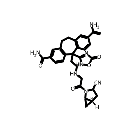 C=C(N)c1ccc2c(c1)CCc1cc(C(N)=O)ccc1C2(CCNCC(=O)N1C(C#N)C[C@@H]2CC21)c1nc(=O)o[nH]1